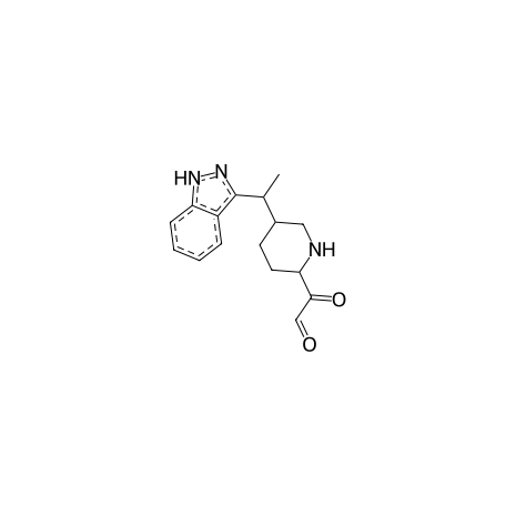 CC(c1n[nH]c2ccccc12)C1CCC(C(=O)C=O)NC1